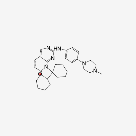 CN1CCN(c2ccc(Nc3ncc4ccc(=O)n(C5(C6CCCCC6)CCCCC5)c4n3)cc2)CC1